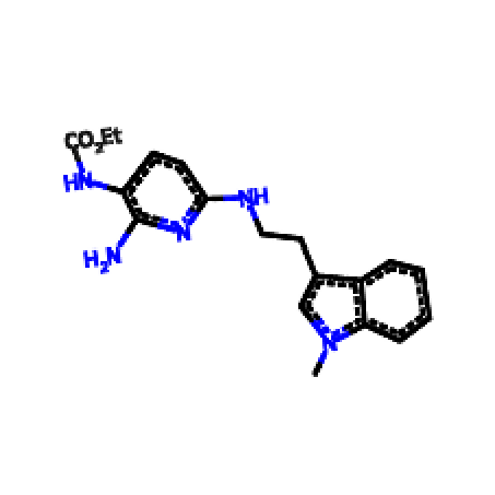 CCOC(=O)Nc1ccc(NCCc2cn(C)c3ccccc23)nc1N